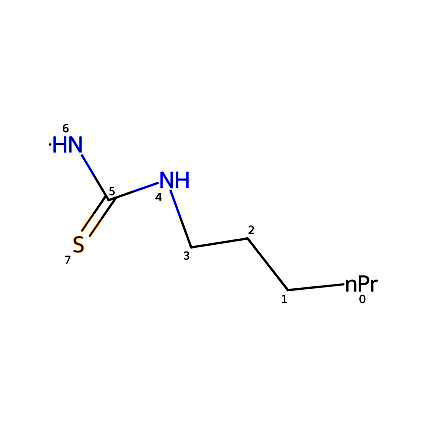 CCCCCCNC([NH])=S